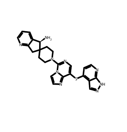 N[C@@H]1c2cccnc2CC12CCN(c1ncc(Sc3ccnc4[nH]ncc34)c3nccn13)CC2